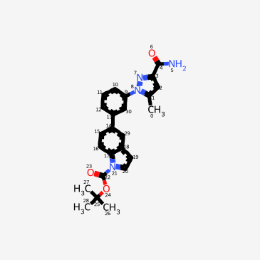 Cc1cc(C(N)=O)nn1-c1cccc(-c2ccc3c(ccn3C(=O)OC(C)(C)C)c2)c1